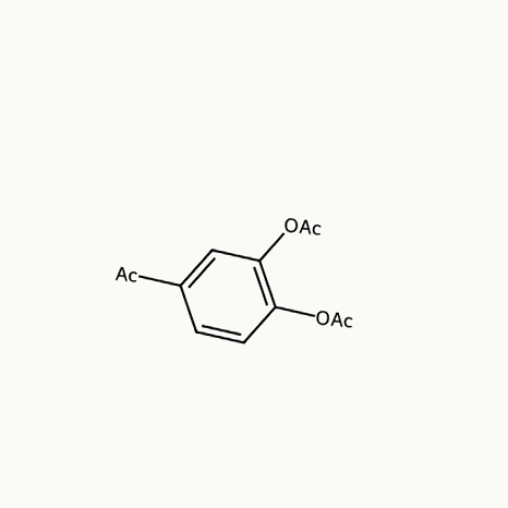 CC(=O)Oc1ccc(C(C)=O)cc1OC(C)=O